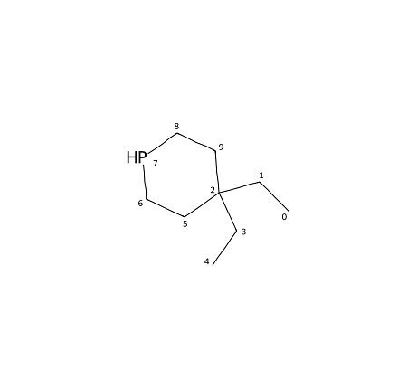 CCC1(CC)CCPCC1